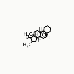 CC1C[C@H]2[C@@H]3CCC4CCCC[C@]4(C)[C@@H]3CC[C@]2(C)C1=O